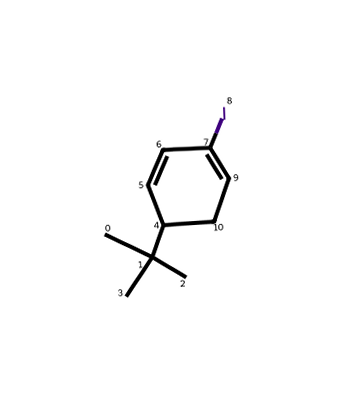 CC(C)(C)C1C=CC(I)=CC1